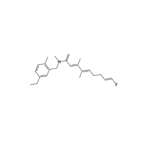 C=C(/C=C(C)/C(C)=C/CC/C=C/F)N(C)Cc1cc(CC)ccc1C